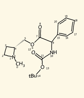 CN1CC[C@@H]1COC(=O)C(NC(=O)OC(C)(C)C)c1ccccc1